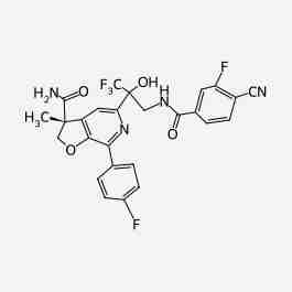 C[C@]1(C(N)=O)COc2c1cc(C(O)(CNC(=O)c1ccc(C#N)c(F)c1)C(F)(F)F)nc2-c1ccc(F)cc1